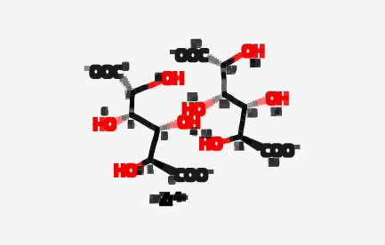 O=C([O-])[C@@H](O)[C@@H](O)[C@H](O)[C@@H](O)C(=O)[O-].O=C([O-])[C@@H](O)[C@@H](O)[C@H](O)[C@@H](O)C(=O)[O-].[Zr+4]